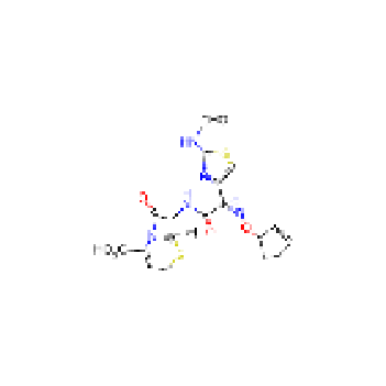 O=CNc1nc(/C(=N/OC2C=CCC2)C(=O)NC2C(=O)N3C(C(=O)O)=CCS[C@H]23)cs1